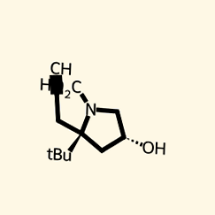 C#CC[C@@]1(C(C)(C)C)C[C@@H](O)CN1C(=O)O